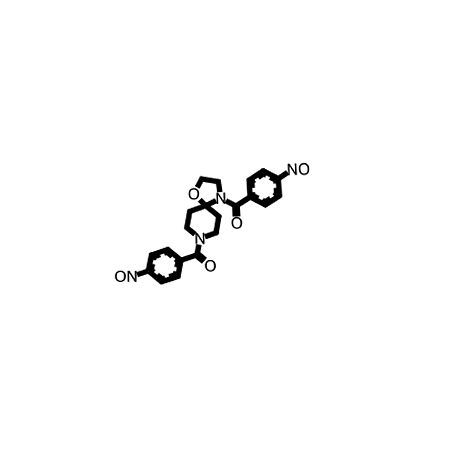 O=Nc1ccc(C(=O)N2CCC3(CC2)OCCN3C(=O)c2ccc(N=O)cc2)cc1